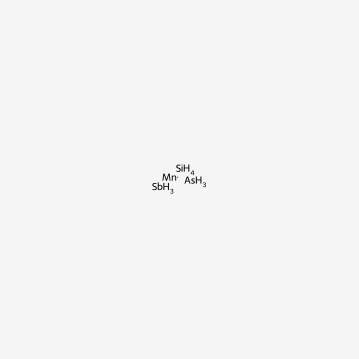 [AsH3].[Mn].[SbH3].[SiH4]